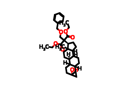 CCOC(=O)C(COCc1ccccc1)(C(=O)OCC)[C@H]1CC[C@H]2[C@@H]3CC[C@@H]4C5C[C@@]5(O)CC[C@@H]4[C@H]3CC[C@]12C